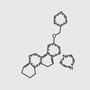 C1=c2ccc3c(c2CCC1)CC=c1ccc(OCc2ccccc2)cc1=3.c1cnccn1